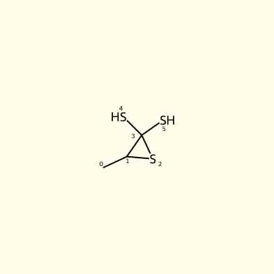 CC1SC1(S)S